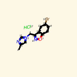 Cc1cn(Cc2noc3ccc(Br)cc23)cn1.Cl